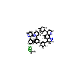 [Cl-].[Cl-].[Cl-].[Cl-].[Ir+4].c1ccc(-c2ccccn2)cc1.c1ccc(-c2ccccn2)cc1.c1ccc(-c2ccnc3c2ccc2c(-c4ccccc4)ccnc23)cc1